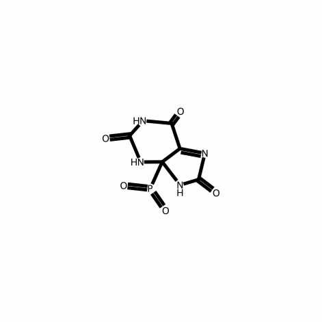 O=C1N=C2C(=O)NC(=O)NC2(P(=O)=O)N1